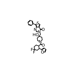 O=C(C1CCC(F)(F)CC1c1ccco1)N1CCC(O)(Cn2cnc3c(-c4ccccc4)scc3c2=O)CC1